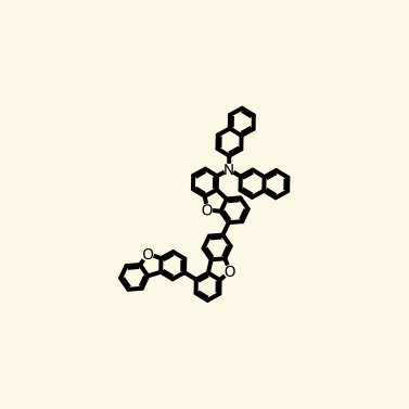 c1ccc2cc(N(c3ccc4ccccc4c3)c3cccc4oc5c(-c6ccc7c(c6)oc6cccc(-c8ccc9oc%10ccccc%10c9c8)c67)cccc5c34)ccc2c1